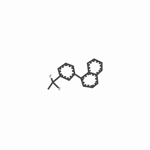 CC(F)(F)c1cccc(-c2cccc3ccccc23)c1